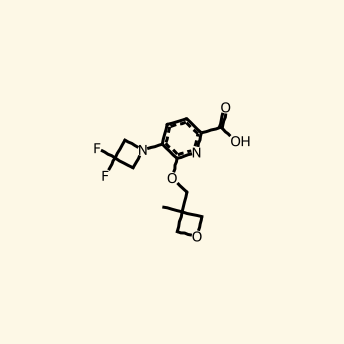 CC1(COc2nc(C(=O)O)ccc2N2CC(F)(F)C2)COC1